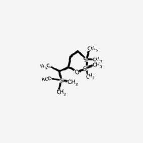 CC(=O)O[Si](C)(C)C(C)C1CC[Si](C)(C)[Si](C)(C)O1